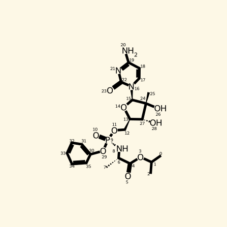 CC(C)OC(=O)[C@H](C)N[P@](=O)(OC[C@H]1O[C@@H](n2ccc(N)nc2=O)[C@](C)(O)[C@@H]1O)Oc1ccccc1